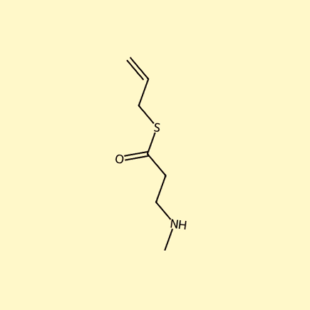 C=CCSC(=O)CCNC